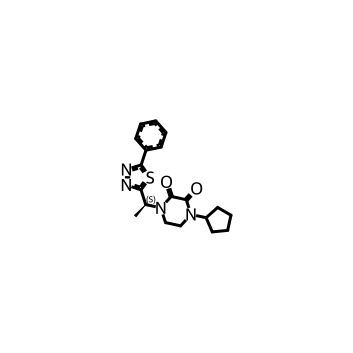 C[C@@H](c1nnc(-c2ccccc2)s1)N1CCN(C2CCCC2)C(=O)C1=O